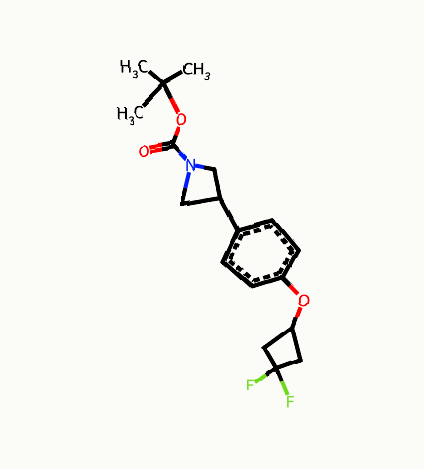 CC(C)(C)OC(=O)N1CC(c2ccc(OC3CC(F)(F)C3)cc2)C1